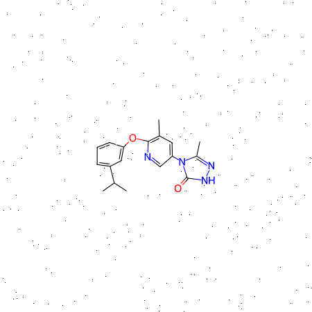 Cc1cc(-n2c(C)n[nH]c2=O)cnc1Oc1cccc(C(C)C)c1